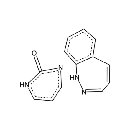 C1=Cc2ccccc2NN=C1.O=c1nccc[nH]1